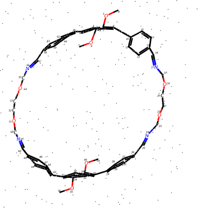 COc1cc2c(OC)cc1-c1ccc(cc1)/C=N/COCCOC/N=C/c1ccc(cc1)-c1cc(OC)c(cc1OC)-c1ccc(cc1)/C=N/COCCOC/N=C/c1ccc-2cc1